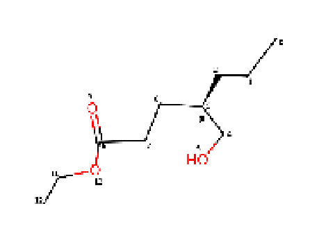 CCC[C@@H](CO)CCC(=O)OCC